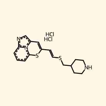 C(=CC1=Cc2cnc3cccc(n23)S1)SCC1CCNCC1.Cl.Cl